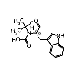 CC(C)(C)N(C(=O)O)[C@H](C=O)Cc1c[nH]c2ccccc12